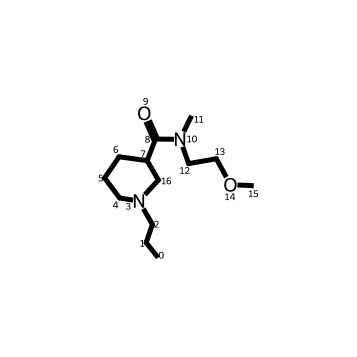 CCCN1CCCC(C(=O)N(C)CCOC)C1